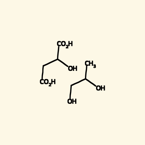 CC(O)CO.O=C(O)CC(O)C(=O)O